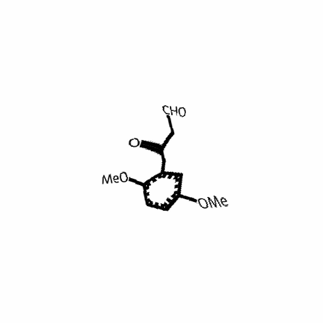 COc1ccc(OC)c(C(=O)CC=O)c1